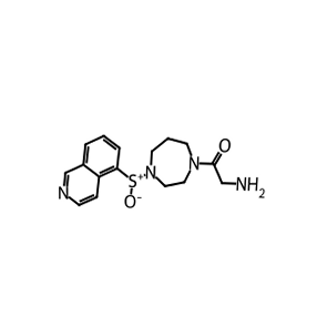 NCC(=O)N1CCCN([S+]([O-])c2cccc3cnccc23)CC1